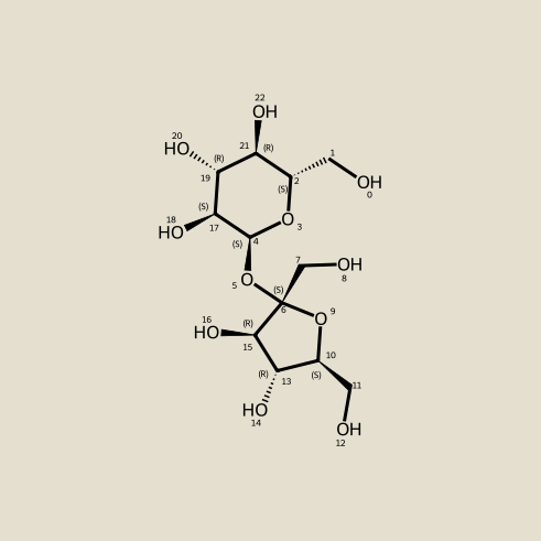 OC[C@@H]1O[C@@H](O[C@]2(CO)O[C@@H](CO)[C@H](O)[C@H]2O)[C@@H](O)[C@H](O)[C@H]1O